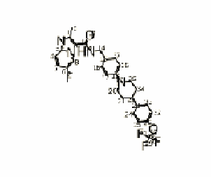 Cc1nc2ccc(F)cn2c1C(=O)NCc1ccc(N2CCC(c3ccc(OC(F)(F)F)cc3)CC2)cc1